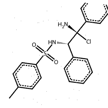 Cc1ccc(S(=O)(=O)N[C@@H](c2ccccc2)[C@@](N)(Cl)c2ccccc2)cc1